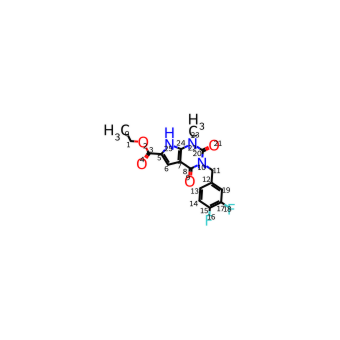 CCOC(=O)c1cc2c(=O)n(Cc3ccc(F)c(F)c3)c(=O)n(C)c2[nH]1